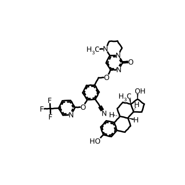 CN1CCCn2c1cc(OCc1ccc(Oc3ccc(C(F)(F)F)cn3)c(C#N)c1)nc2=O.C[C@]12CC[C@@H]3c4ccc(O)cc4CC[C@H]3[C@@H]1CC[C@@H]2O